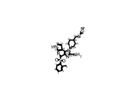 Cc1ccccc1S(=O)(=O)c1nc2[nH]ccc2c2c1nc(N)n2N1CCC(CN=[N+]=[N-])CC1